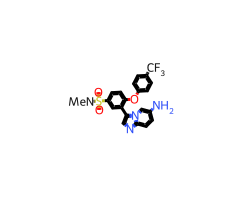 CNS(=O)(=O)c1ccc(Oc2ccc(C(F)(F)F)cc2)c(-c2cnc3ccc(N)cn23)c1